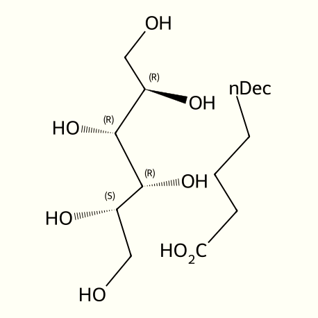 CCCCCCCCCCCCCC(=O)O.OC[C@@H](O)[C@@H](O)[C@H](O)[C@@H](O)CO